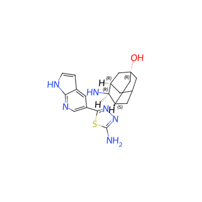 Nc1nnc(-c2cnc3[nH]ccc3c2N[C@H]2[C@@H]3CC4C[C@H]2C[C@](O)(C4)C3)s1